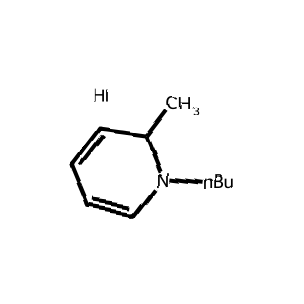 CCCCN1C=CC=CC1C.I